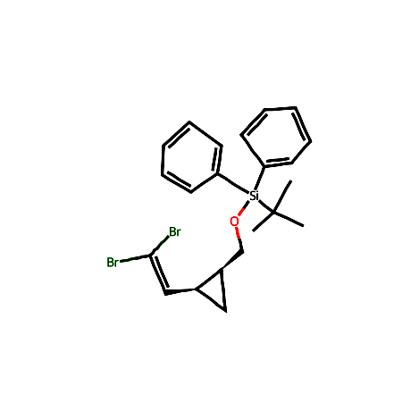 CC(C)(C)[Si](OC[C@H]1C[C@H]1C=C(Br)Br)(c1ccccc1)c1ccccc1